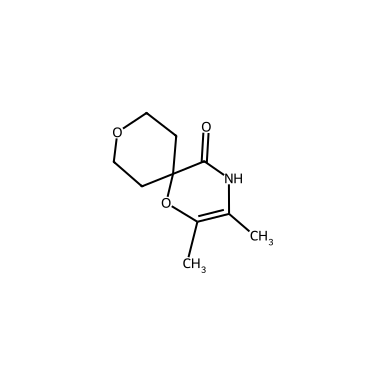 CC1=C(C)OC2(CCOCC2)C(=O)N1